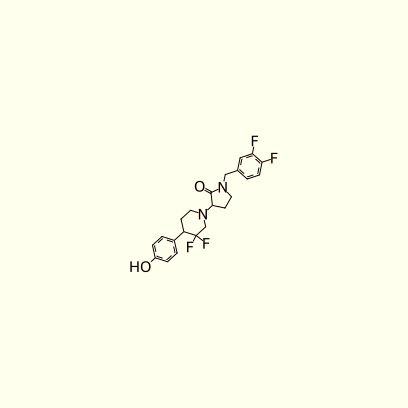 O=C1C(N2CCC(c3ccc(O)cc3)C(F)(F)C2)CCN1Cc1ccc(F)c(F)c1